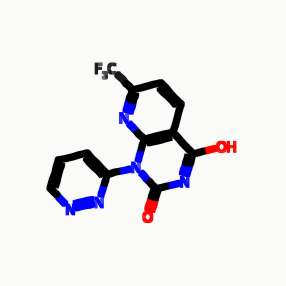 O=c1nc(O)c2ccc(C(F)(F)F)nc2n1-c1cccnn1